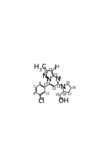 Cc1nn2c(-c3cccc(Cl)c3)cc(N3CCCC3CO)nc2c1I